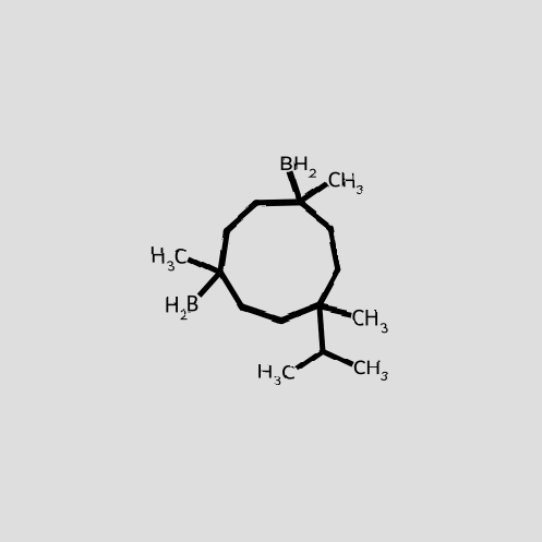 BC1(C)CCC(B)(C)CCC(C)(C(C)C)CC1